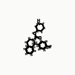 O=C(OC1CCCNC1)N1CCc2ccccc2[C@@H]1c1ccc(F)cc1